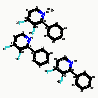 Fc1ccnc(-c2ccccc2)c1F.Fc1ccnc(-c2ccccc2)c1F.Fc1ccnc(-c2ccccc2)c1F.[Ir]